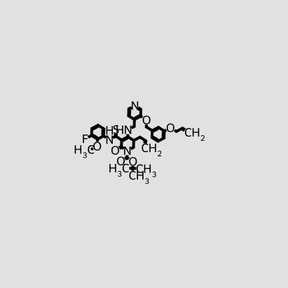 C=CCOc1cccc(COc2cnccc2CNC2=C(C(=S)Nc3cccc(F)c3OC)C(=O)N(C(=O)OC(C)(C)C)CC2CC=C)c1